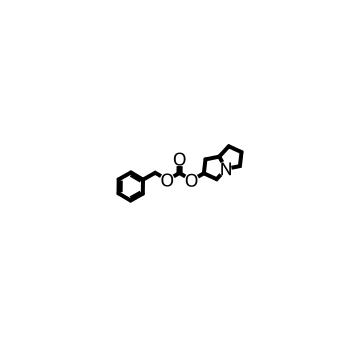 O=C(OCc1ccccc1)OC1CC2CCCN2C1